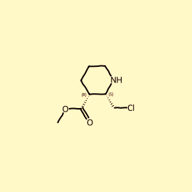 COC(=O)[C@@H]1CCCN[C@@H]1CCl